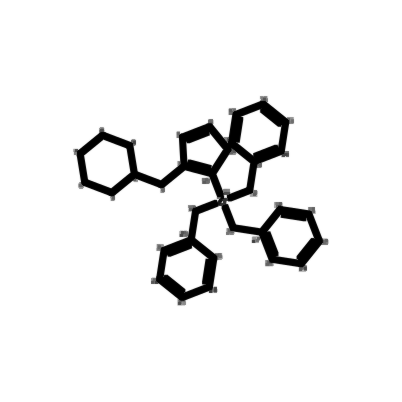 C1=CC(CC2CCCCC2)=[C]([Zr]([CH2]c2ccccc2)([CH2]c2ccccc2)[CH2]c2ccccc2)C1